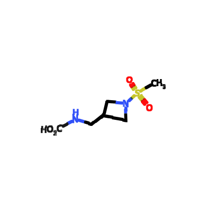 CS(=O)(=O)N1CC(CNC(=O)O)C1